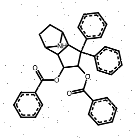 O=C(OC1C2C3CCC(N3)C2C(c2ccccc2)(c2ccccc2)C1OC(=O)c1ccccc1)c1ccccc1